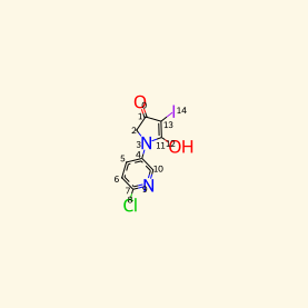 O=C1CN(c2ccc(Cl)nc2)C(O)=C1I